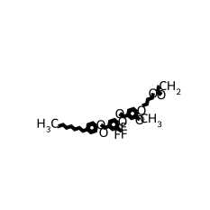 C=CC(=O)OCCCCOc1ccc(C(=O)Oc2ccc(C(=O)Oc3ccc(CCCCCCCC)cc3)cc2C(F)(F)F)cc1OC